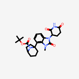 Cn1c(=O)n(C2CCC(=O)NC2=O)c2cccc(C34CCCC(CC3)N4C(=O)OC(C)(C)C)c21